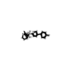 C[C@@H]1[C@@H](Nc2ccc(-c3ccc(F)cc3)cn2)C2CCN1CC2